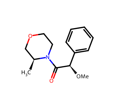 CO[C@@H](C(=O)N1CCOC[C@@H]1C)c1ccccc1